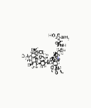 C#CCN1C(=O)COc2cc(F)c(/N=c3\snc4n3CC(C)(C)C4)cc21.CCc1cccc(C)c1N(C(=O)CCl)C(C)COC.CP(=O)(O)CCC(N)C(=O)O.CS(=O)(=O)c1ccc(C(=O)C2C(=O)CCCC2=O)c([N+](=O)[O-])c1